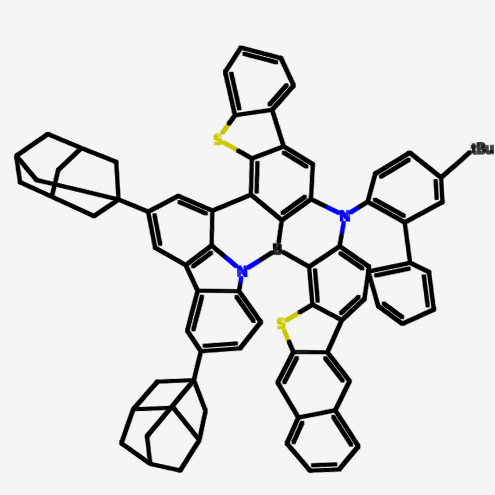 CC(C)(C)c1ccc(N2c3cc4c(sc5ccccc54)c4c3B(c3c2ccc2c3sc3cc5ccccc5cc32)n2c3ccc(C56CC7CC(CC(C7)C5)C6)cc3c3cc(C56CC7CC(CC(C7)C5)C6)cc-4c32)c(-c2ccccc2)c1